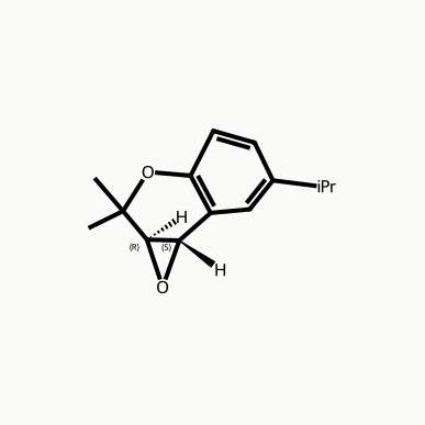 CC(C)c1ccc2c(c1)[C@@H]1O[C@H]1C(C)(C)O2